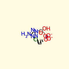 Nc1nc(Cl)nc2c1ncn2[C@H]1C[C@H](O)[C@@H](COP(=O)([O-])[O-])O1.[Li+].[Li+]